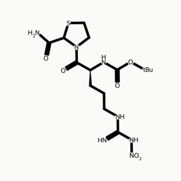 CC(C)(C)OC(=O)N[C@@H](CCCNC(=N)N[N+](=O)[O-])C(=O)N1CCSC1C(N)=O